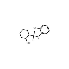 CC(C)(Nc1ccccc1Cl)C1CCCCC1O